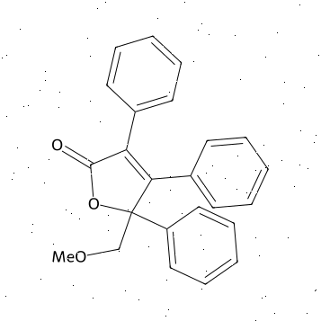 COCC1(c2ccccc2)OC(=O)C(c2ccccc2)=C1c1ccccc1